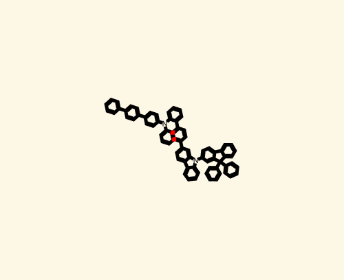 c1ccc(-c2ccc(-c3ccc(N(c4ccccc4)c4ccccc4-c4ccc(-c5ccc6c7ccccc7n(-c7ccc8c(c7)C(c7ccccc7)(c7ccccc7)c7ccccc7-8)c6c5)cc4)cc3)cc2)cc1